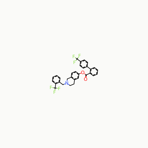 O=C(Oc1ccc2c(c1)CCN(Cc1ccccc1C(F)(F)F)C2)c1ccccc1-c1ccc(C(F)(F)F)cc1